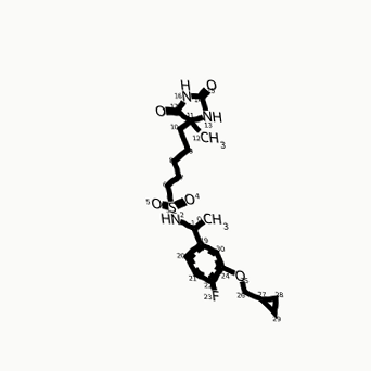 CC(NS(=O)(=O)CCCCCC1(C)NC(=O)NC1=O)c1ccc(F)c(OCC2CC2)c1